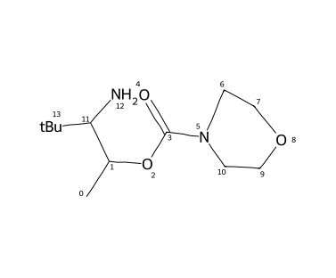 CC(OC(=O)N1CCOCC1)C(N)C(C)(C)C